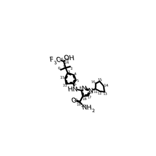 CC(C)(c1ccc(Nc2nn(C3CCCCC3)cc2C(N)=O)cc1)C(O)C(F)(F)F